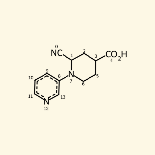 N#CC1CC(C(=O)O)CCN1c1cccnc1